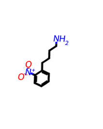 NCCCCc1ccccc1[N+](=O)[O-]